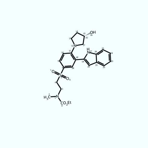 CCOC(=O)N(C)CCS(=O)(=O)c1ccc(N2CC[C@H](O)C2)c(-c2cc3ccccc3[nH]2)c1